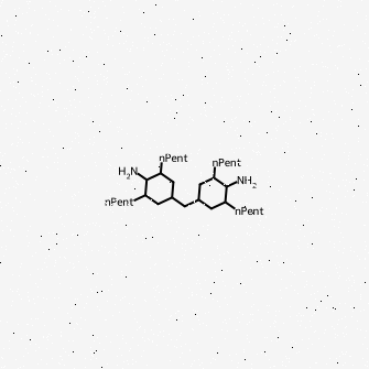 CCCCCC1CC(CC2CC(CCCCC)C(N)C(CCCCC)C2)CC(CCCCC)C1N